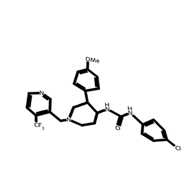 COc1ccc(C2CN(Cc3cnccc3C(F)(F)F)CCC2NC(=O)Nc2ccc(Cl)cc2)cc1